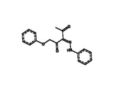 CC(=O)/C(=N/Nc1ccccc1)C(=O)COc1ccccc1